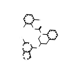 CC(C)c1cccc(C(C)C)c1NC(=O)N1CC(Nc2nc(N)nc3[nH]ncc23)Cc2ccccc21